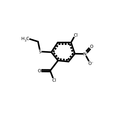 CCSc1cc(Cl)c([N+](=O)[O-])cc1C(=O)Cl